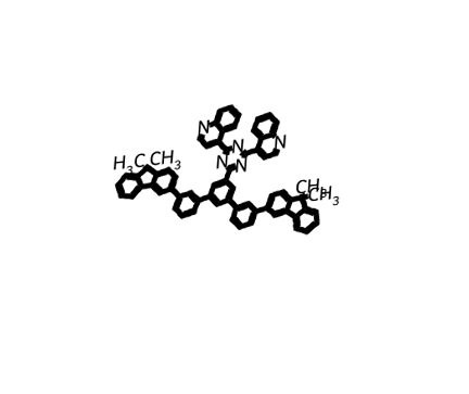 CC1(C)c2ccccc2-c2cc(-c3cccc(-c4cc(-c5cccc(-c6ccc7c(c6)-c6ccccc6C7(C)C)c5)cc(-c5nc(-c6ccnc7ccccc67)nc(-c6ccnc7ccccc67)n5)c4)c3)ccc21